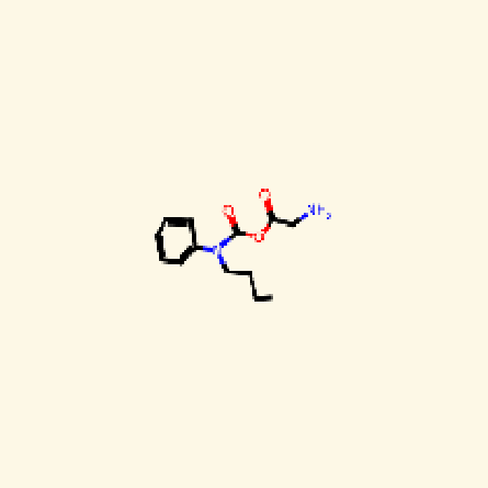 CCCCN(C(=O)OC(=O)CN)c1ccccc1